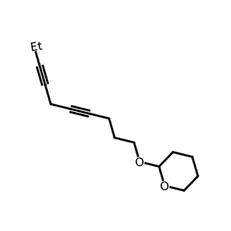 CCC#CCC#CCCCOC1CCCCO1